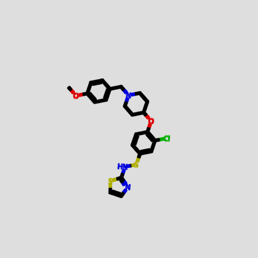 COc1ccc(CN2CCC(Oc3ccc(SNc4nccs4)cc3Cl)CC2)cc1